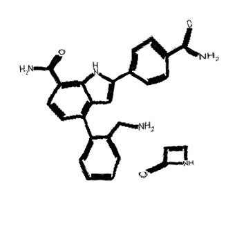 NCc1ccccc1-c1ccc(C(N)=O)c2[nH]c(-c3ccc(C(N)=O)cc3)cc12.O=C1C=CN1